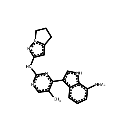 CC(=O)Nc1cccc2c(-c3nc(Nc4cc5n(n4)CCC5)ncc3C)c[nH]c12